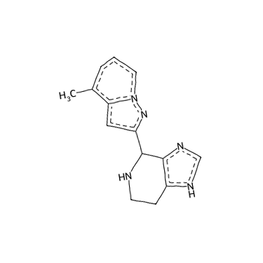 Cc1cccn2nc(C3NCCc4[nH]cnc43)cc12